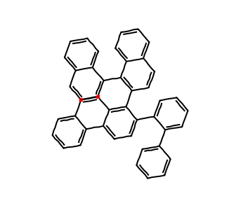 c1ccc(-c2ccccc2-c2ccc3c(ccc4ccccc43)c2-c2ccc3ccccc3c2-c2cccc3ccccc23)cc1